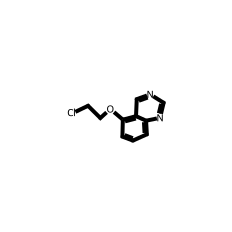 ClCCOc1cccc2ncncc12